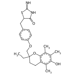 CCC1(COc2ccc(CC3SC(=N)NC3=O)cc2)CCc2c(C)c(O)c(C)c(C)c2O1